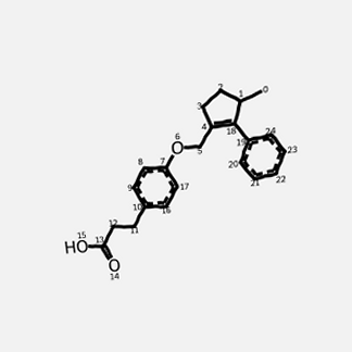 CC1CCC(COc2ccc(CCC(=O)O)cc2)=C1c1ccccc1